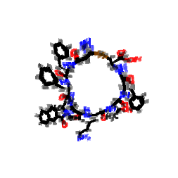 CC(O)[C@@H]1NC(=O)[C@H](CCCCN)NC(=O)[C@@H]([N+](C)(C(=O)c2ccc3ccccc3c2)C(C)C)NC(=O)[C@H](Cc2ccccc2)NC(=O)[C@H](Cc2ccccc2)NC(=O)[C@H](N)CSSC[C@@H](C(=O)O)NC(=O)[C@H](Cc2ccccc2)NC1=O